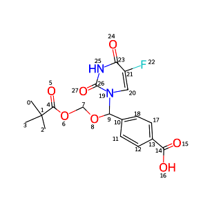 CC(C)(C)C(=O)OCOC(c1ccc(C(=O)O)cc1)n1cc(F)c(=O)[nH]c1=O